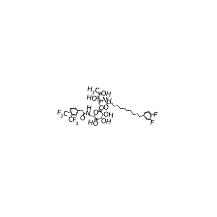 C[C@@H](O)[C@@H](O)[C@H](CO[C@H]1OC(CNC(=O)Cc2ccc(C(F)(F)F)c(C(F)(F)F)c2)[C@H](O)C(O)C1O)NC(=O)CCCCCCCCCCc1ccc(F)c(F)c1